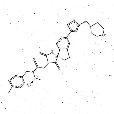 C[C@H](N(Cc1ccc(F)cc1)C(=O)CN1C(=O)N[C@]2(CCc3cc(-c4cnn(CC5CCNCC5)c4)ccc32)C1=O)C(F)(F)F